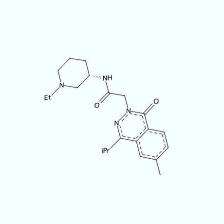 CCN1CCC[C@H](NC(=O)Cn2nc(C(C)C)c3cc(C)ccc3c2=O)C1